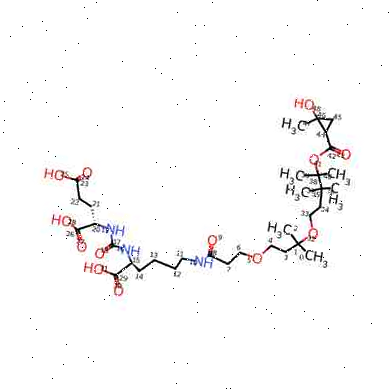 CC(C)(CCOCCC(=O)NCCCC[C@H](NC(=O)N[C@@H](CCC(=O)O)C(=O)O)C(=O)O)OCCC(C)(C)C(C)(C)OC(=O)C1CC1(C)O